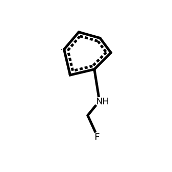 FCNc1c[c]ccc1